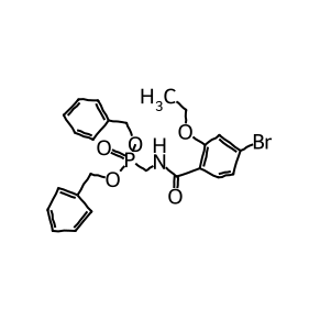 CCOc1cc(Br)ccc1C(=O)NCP(=O)(OCc1ccccc1)OCc1ccccc1